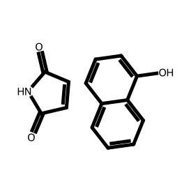 O=C1C=CC(=O)N1.Oc1cccc2ccccc12